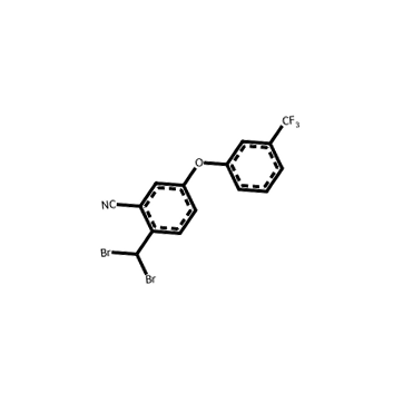 N#Cc1cc(Oc2cccc(C(F)(F)F)c2)ccc1C(Br)Br